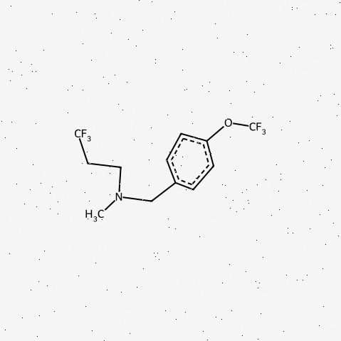 CN(CCC(F)(F)F)Cc1ccc(OC(F)(F)F)cc1